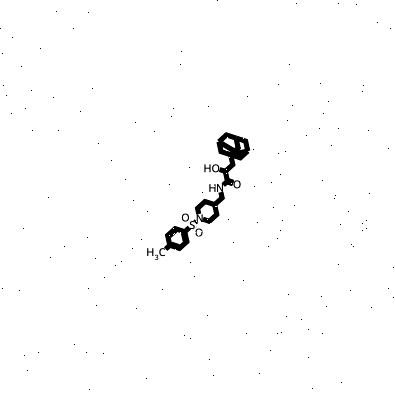 Cc1ccc(S(=O)(=O)N2CCC(CNC(=O)C(O)CC34CC5CC(CC(C5)C3)C4)CC2)cc1